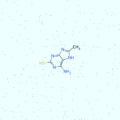 Cc1nc2nc(S)nc(N)c2[nH]1